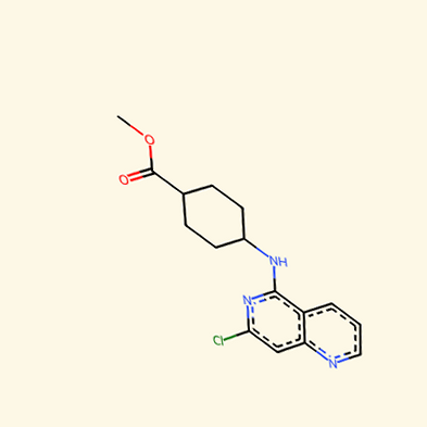 COC(=O)C1CCC(Nc2nc(Cl)cc3ncccc23)CC1